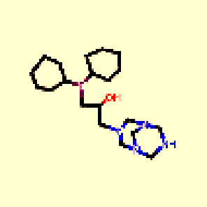 OC(CN1CN2CNCN(C2)C1)CP(C1CCCCC1)C1CCCCC1